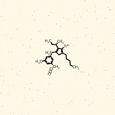 CCCCCC1=[C]([Ti+3])C(C(C)CC)=C([SiH2]c2cc(C)cc(C)c2)C1.[Cl-].[Cl-].[Cl-]